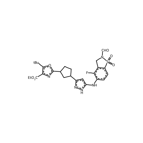 CCOC(=O)c1nc(C2CCC(c3cc(Nc4ccc5c(c4F)CN(C=O)S5(=O)=O)[nH]n3)C2)oc1C(C)(C)C